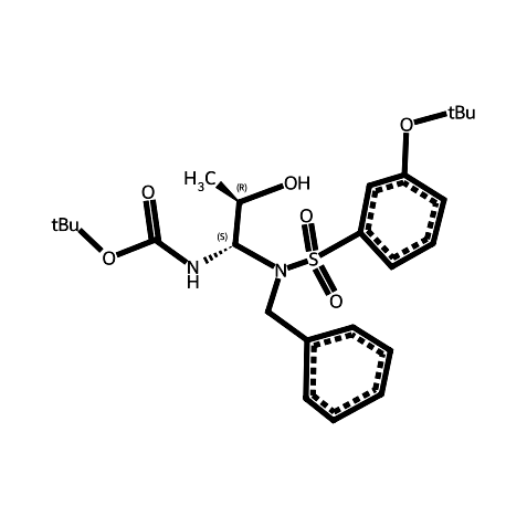 C[C@@H](O)[C@@H](NC(=O)OC(C)(C)C)N(Cc1ccccc1)S(=O)(=O)c1cccc(OC(C)(C)C)c1